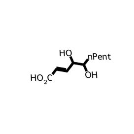 CCCCCC(O)C(O)C=CC(=O)O